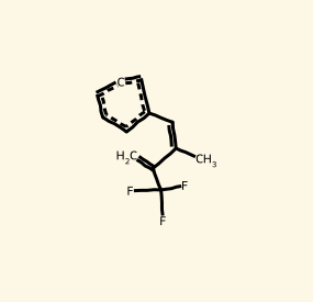 C=C(C(C)=Cc1ccccc1)C(F)(F)F